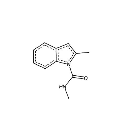 CNC(=O)n1c(C)cc2ccccc21